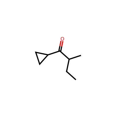 CCC(C)C(=O)C1CC1